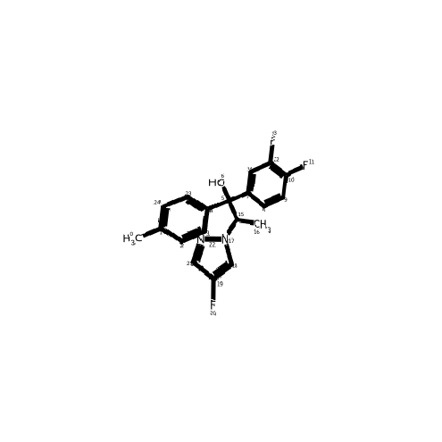 Cc1ccc(C(O)(c2ccc(F)c(F)c2)C(C)n2cc(F)cn2)cc1